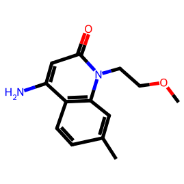 COCCn1c(=O)cc(N)c2ccc(C)cc21